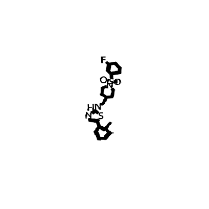 Cc1[c]cccc1-c1cnc(NCC2CCN(S(=O)(=O)c3cccc(F)c3)CC2)s1